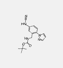 CC(C)(C)OC(=O)NCc1cc(NC#N)ccc1-n1cccn1